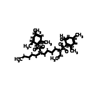 CCCCCN(CCCCN(CC)S(=O)(=O)c1c(C)cc(C)cc1C)S(=O)(=O)c1c(C)cc(C)cc1C